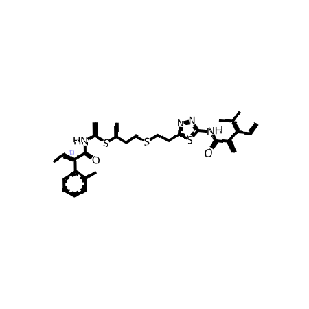 C=CC(C(=C)C(=O)Nc1nnc(CCSCCC(=C)SC(=C)NC(=O)/C(=C/C)c2ccccc2C)s1)=C(C)C